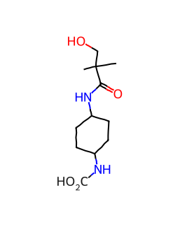 CC(C)(CO)C(=O)NC1CCC(NC(=O)O)CC1